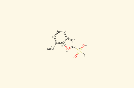 COc1cccc2cc(S(C)(=O)=O)oc12